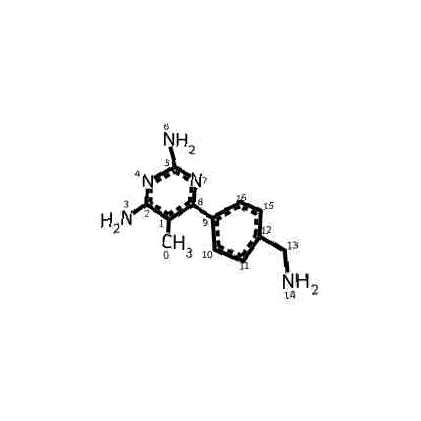 Cc1c(N)nc(N)nc1-c1ccc(CN)cc1